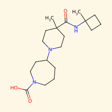 CC1(NC(=O)C2(C)CCN(C3CCCN(C(=O)O)CC3)CC2)CCC1